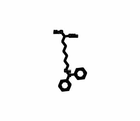 COC(CCCCCCO[SiH](c1ccccc1)c1ccccc1)OC